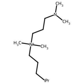 CC(C)CCC[N+](C)(C)CCCN(C)C